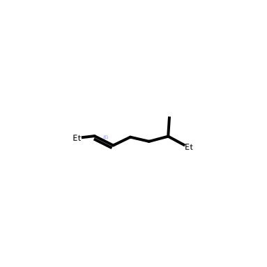 [CH2]C/C=C/CCC(C)CC